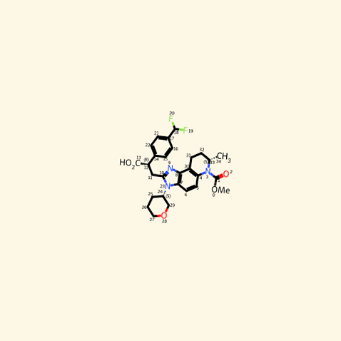 COC(=O)N1c2ccc3c(nc(C[C@@H](C(=O)O)c4ccc(C(F)F)cc4)n3[C@H]3CCCOC3)c2CC[C@@H]1C